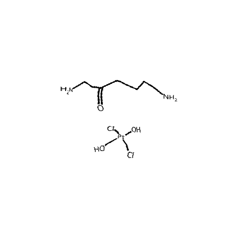 NCCCC(=O)CN.[OH][Pt]([OH])([Cl])[Cl]